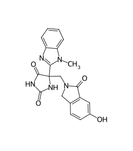 Cn1c(C2(CN3Cc4ccc(O)cc4C3=O)NC(=O)NC2=O)nc2ccccc21